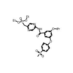 CCOP(=O)(Cc1cnc(NC(=O)c2cc(Oc3ccc(S(C)(=O)=O)cc3)cc(OC(C)C)c2)cn1)OCC